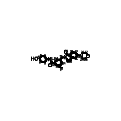 O=C(N[C@H]1CC[C@@H](O)CC1)c1cc(F)cc(Cn2ccc3cc(N4CCOCC4)ccc3c2=O)c1